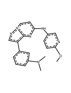 COc1ccc(Nc2ccn3ncc(-c4cccc(N(C)C)c4)c3n2)cn1